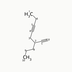 [C]#CC(CC#CCC)CCC